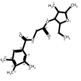 CCC1OC(C)C(C)C1OC(=O)COC(=O)c1cc(C)c(C)c(C)c1